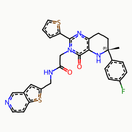 C[C@]1(c2ccc(F)cc2)CCc2nc(-c3cccs3)n(CC(=O)NCc3cc4cnccc4s3)c(=O)c2N1